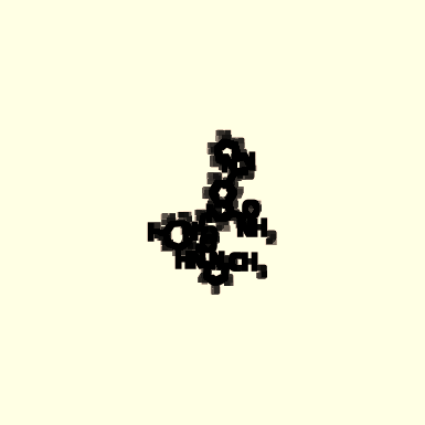 Cc1cccc(NC(=O)[C@@H]2CCC(F)CCN2C(=O)Cn2cc(C(N)=O)c3cc(-c4cnc5ccccn45)ccc32)n1